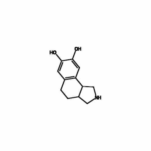 Oc1cc2c(cc1O)C1CNCC1CC2